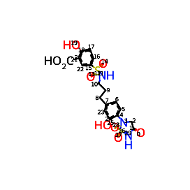 O=C1CN(c2ccc(CCCNS(=O)(=O)c3ccc(O)c(C(=O)O)c3)cc2O)S(=O)(=O)N1